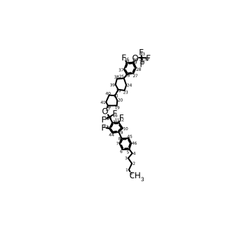 CCCCCc1ccc(-c2cc(F)c(C(F)(F)OC3CCC(C4CCC(c5ccc(OC(F)(F)F)c(F)c5)CC4)CC3)c(F)c2)cc1